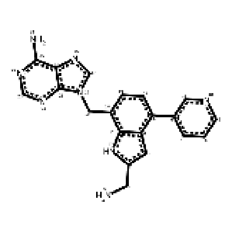 NCc1cc2c(-c3cccnc3)ccc(Cn3cnc4c(N)ncnc43)c2[nH]1